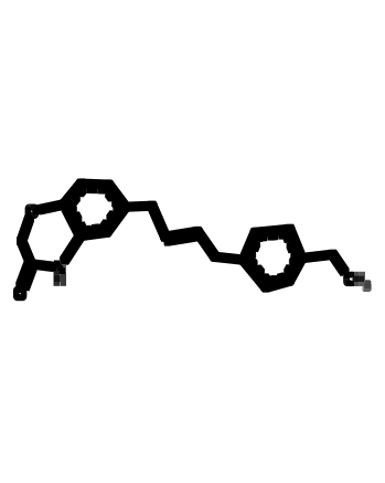 CCc1ccc(C/C=C/Cc2ccc3c(c2)NC(=O)CO3)cc1